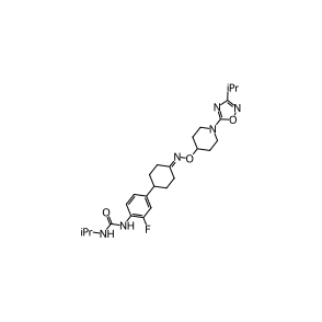 CC(C)NC(=O)Nc1ccc(C2CCC(=NOC3CCN(c4nc(C(C)C)no4)CC3)CC2)cc1F